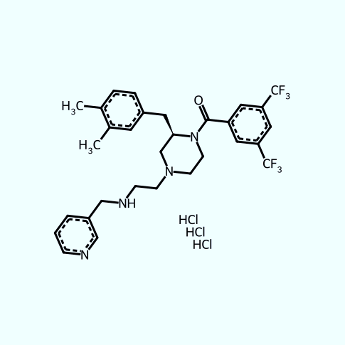 Cc1ccc(C[C@@H]2CN(CCNCc3cccnc3)CCN2C(=O)c2cc(C(F)(F)F)cc(C(F)(F)F)c2)cc1C.Cl.Cl.Cl